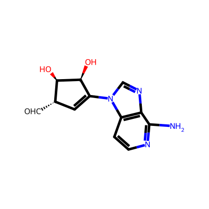 Nc1nccc2c1ncn2C1=C[C@H](C=O)[C@@H](O)[C@H]1O